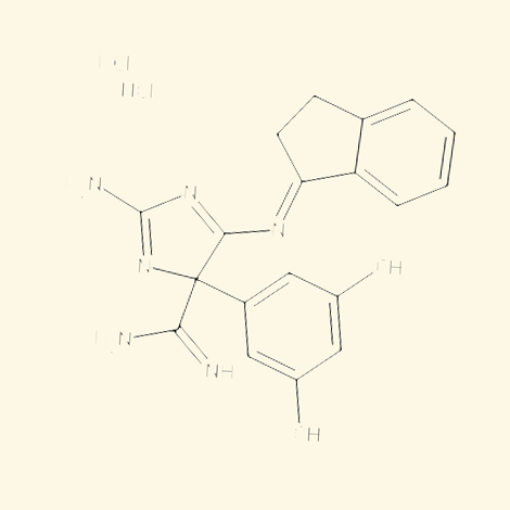 Cc1cc(C)cc(C2(C(=N)N)N=C(N)N=C2N=C2CCc3ccccc32)c1.Cl.Cl